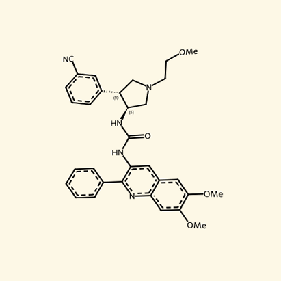 COCCN1C[C@@H](NC(=O)Nc2cc3cc(OC)c(OC)cc3nc2-c2ccccc2)[C@H](c2cccc(C#N)c2)C1